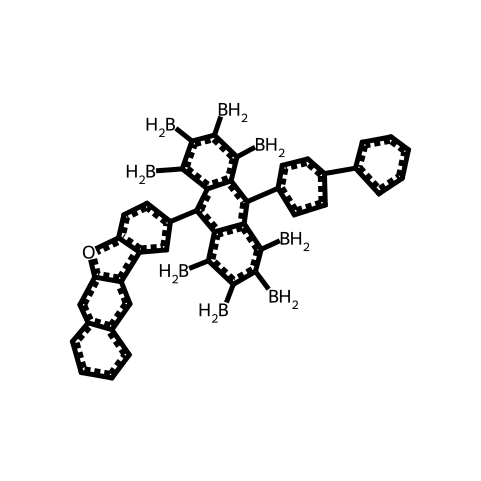 Bc1c(B)c(B)c2c(-c3ccc4oc5cc6ccccc6cc5c4c3)c3c(B)c(B)c(B)c(B)c3c(-c3ccc(-c4ccccc4)cc3)c2c1B